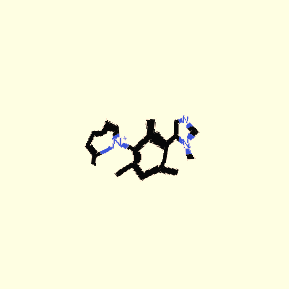 Cc1cc(C)c(-[n+]2ccccc2C)c(C)c1-c1cncn1C